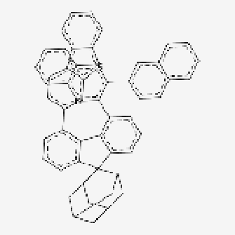 c1cc(-c2ccc3c(c2)sc2ccccc23)c2c(c1)C1(c3cccc(-c4nc5ccccc5nc4-c4ccc5ccccc5c4)c3-2)C2CC3CC(C2)CC1C3